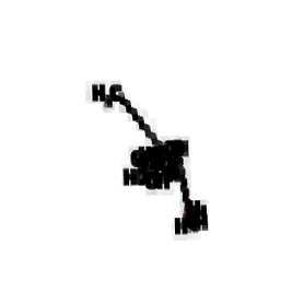 CCCCCCCCCCCCCC[C@@H](O)[C@@H](O)[C@H](COC1OC(CO)C(O)C(O)C1O)NC1(CCCCCCCCCC[C@H]2C[C@@H]3CC[C@H]2[C@H]2C[C@@H]32)COC1